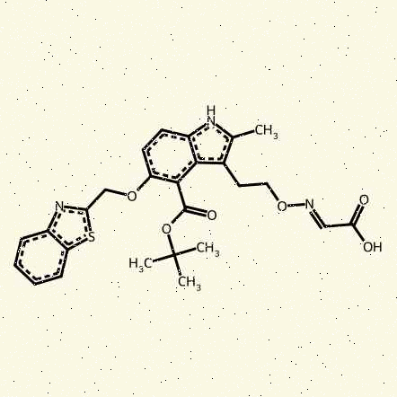 Cc1[nH]c2ccc(OCc3nc4ccccc4s3)c(C(=O)OC(C)(C)C)c2c1CCON=CC(=O)O